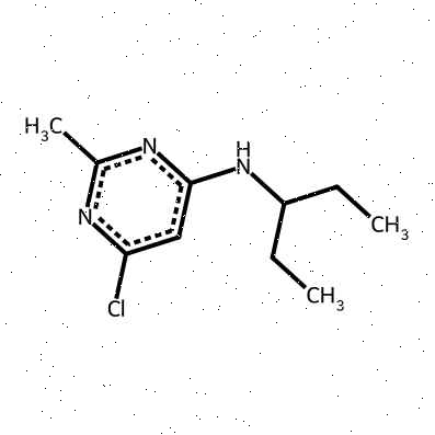 CCC(CC)Nc1cc(Cl)nc(C)n1